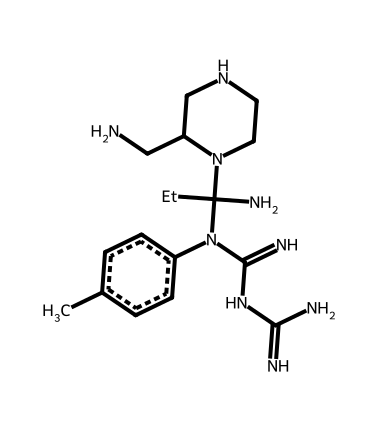 [CH2]CC(N)(N(C(=N)NC(=N)N)c1ccc(C)cc1)N1CCNCC1CN